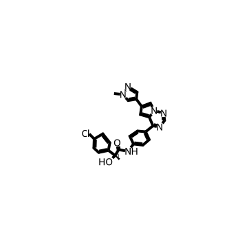 Cn1cc(-c2cc3c(-c4ccc(NC(=O)[C@](C)(O)c5ccc(Cl)cc5)cc4)ncnn3c2)cn1